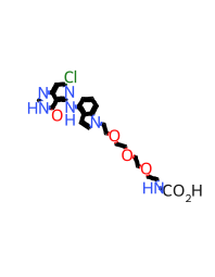 O=C(O)NCCOCCOCCOCCn1ccc2c(Nc3nc(Cl)cc4nc[nH]c(=O)c34)cccc21